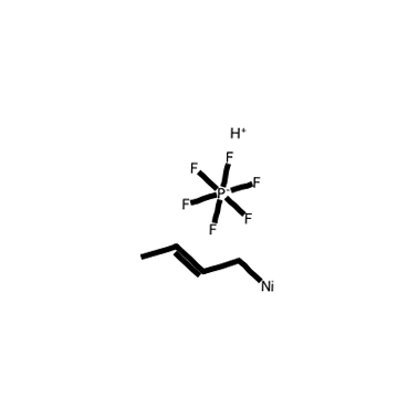 CC=C[CH2][Ni].F[P-](F)(F)(F)(F)F.[H+]